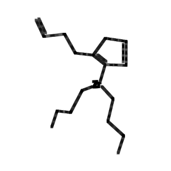 C=CCCC1=[C]([Zr]([CH2]CCC)[CH2]CCC)C=CC1